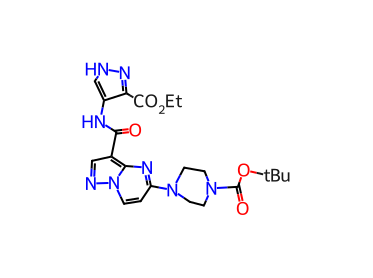 CCOC(=O)c1n[nH]cc1NC(=O)c1cnn2ccc(N3CCN(C(=O)OC(C)(C)C)CC3)nc12